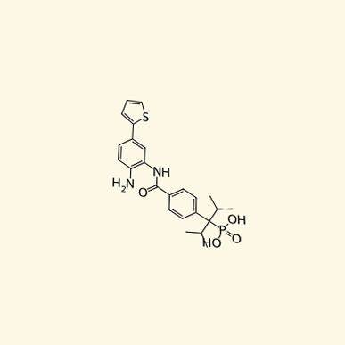 CC(C)C(c1ccc(C(=O)Nc2cc(-c3cccs3)ccc2N)cc1)(C(C)C)P(=O)(O)O